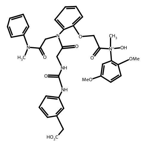 COc1ccc(OC)c([N+](C)(O)C(=O)COc2ccccc2N(CC(=O)N(C)c2ccccc2)C(=O)CNC(=O)Nc2cccc(CC(=O)O)c2)c1